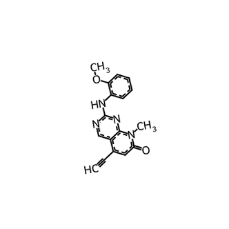 C#Cc1cc(=O)n(C)c2nc(Nc3ccccc3OC)ncc12